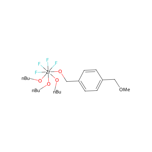 CCCC[O][Zr]([F])([F])([F])([F])([O]CCCC)([O]CCCC)[O]Cc1ccc(COC)cc1